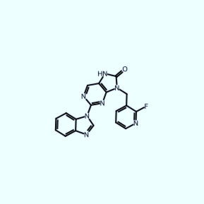 O=c1[nH]c2cnc(-n3cnc4ccccc43)nc2n1Cc1cccnc1F